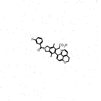 Cc1c2c(c(C)c(-c3ccc4c5c(ccnc35)CCO4)c1CC(=O)O)CN(C(=O)c1cccc(F)c1)C2